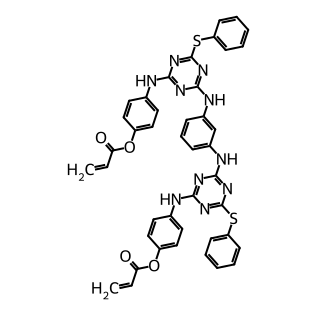 C=CC(=O)Oc1ccc(Nc2nc(Nc3cccc(Nc4nc(Nc5ccc(OC(=O)C=C)cc5)nc(Sc5ccccc5)n4)c3)nc(Sc3ccccc3)n2)cc1